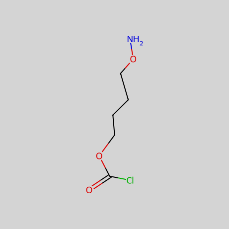 NOCCCCOC(=O)Cl